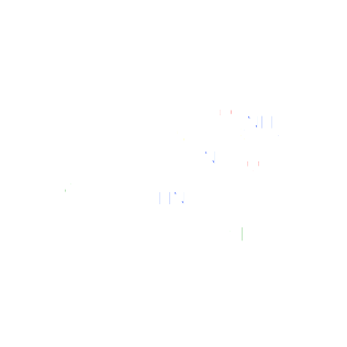 NS(=O)(=O)N1Sc2ccc(Cl)cc2NC1CCl